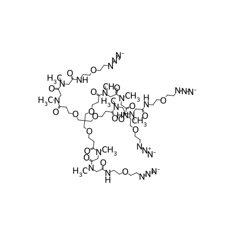 CN(CC(=O)NCCOCCN=[N+]=[N-])C(=O)CN(C)C(=O)CCOCC(COCCC(=O)N(C)CC(=O)N(C)CC(=O)NCCOCCN=[N+]=[N-])(COCCC(=O)N(C)CC(=O)N(C)CC(=O)NCCOCCN=[N+]=[N-])COCCC(=O)N(C)CC(=O)N(C)CC(=O)NCCOCCN=[N+]=[N-]